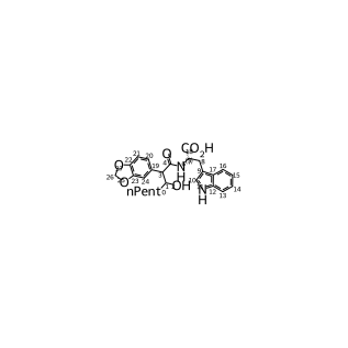 CCCCCC(O)C(C(=O)N[C@@H](Cc1c[nH]c2ccccc12)C(=O)O)c1ccc2c(c1)OCO2